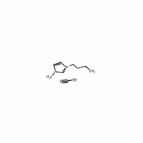 CCCC[n+]1ccn(C)c1.N#CS